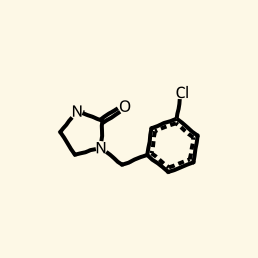 O=C1[N]CCN1Cc1cccc(Cl)c1